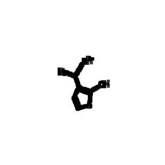 CCCC(CC)c1ccsc1O